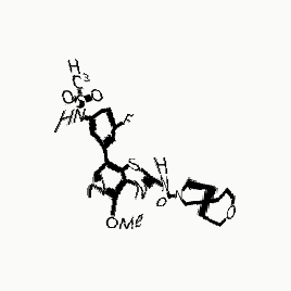 COc1ncc(-c2cc(F)cc(NS(C)(=O)=O)c2)c2sc(NC(=O)N3CCC4(CCOCC4)C3)nc12